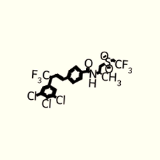 C[C@H](CS(=O)(=O)CC(F)(F)F)NC(=O)c1ccc(/C=C/C(c2cc(Cl)c(Cl)c(Cl)c2)C(F)(F)F)cc1